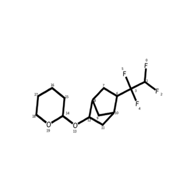 FC(F)C(F)(F)C1CC2CC1CC2OC1CCCCO1